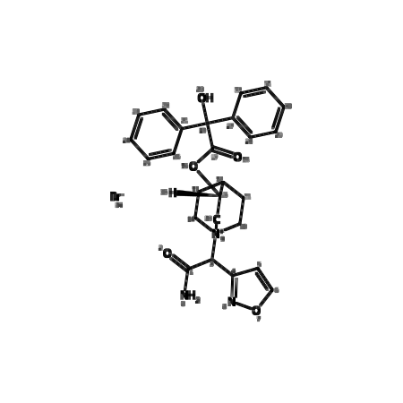 NC(=O)C(c1ccon1)[N+]12CCC(CC1)[C@@H](OC(=O)C(O)(c1ccccc1)c1ccccc1)C2.[Br-]